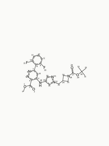 COC(=O)c1nnc(-c2c(F)cccc2F)cc1Nc1cnn(CC2CN(C(=O)OC(C)(C)C)C2)c1